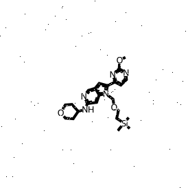 COc1nccc(-c2cc3cnc(NC4CCOCC4)cc3n2COCC[Si](C)(C)C)n1